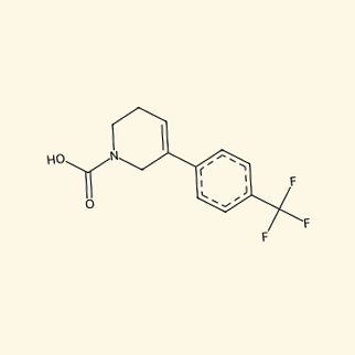 O=C(O)N1CCC=C(c2ccc(C(F)(F)F)cc2)C1